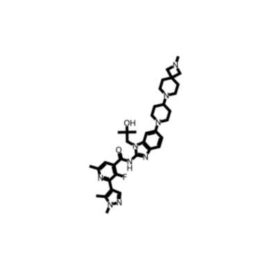 Cc1cc(C(=O)Nc2nc3ccc(N4CCC(N5CCC6(CC5)CN(C)C6)CC4)cc3n2CC(C)(C)O)c(F)c(-c2cnn(C)c2C)n1